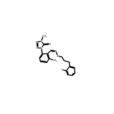 Cc1cccc(-n2nnn(C)c2=O)c1/C=N\OCCCc1ccccc1F